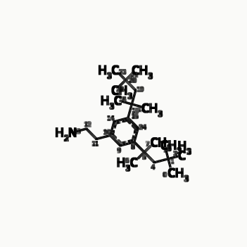 CC(C)(C)CC(C)(C)c1cc(CCN)cc(C(C)(C)CC(C)(C)C)c1